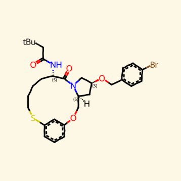 CC(C)(C)CC(=O)N[C@H]1CCCCSc2cccc(c2)OC[C@@H]2C[C@H](OCc3ccc(Br)cc3)CN2C1=O